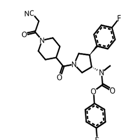 CN(C(=O)Oc1ccc(F)cc1)[C@@H]1CN(C(=O)C2CCN(C(=O)CC#N)CC2)C[C@H]1c1ccc(F)cc1